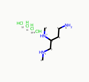 CNCC(CCN)NC.Cl.Cl.Cl.Cl